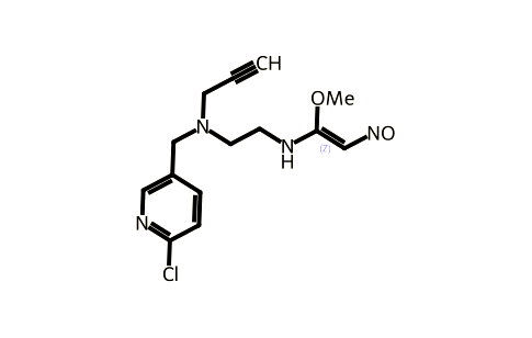 C#CCN(CCN/C(=C/N=O)OC)Cc1ccc(Cl)nc1